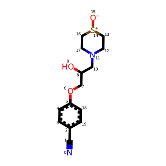 N#Cc1ccc(OCC(O)CN2CC[S+]([O-])CC2)cc1